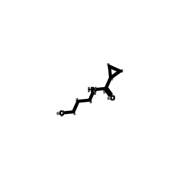 [O]CCCNC(=O)C1CC1